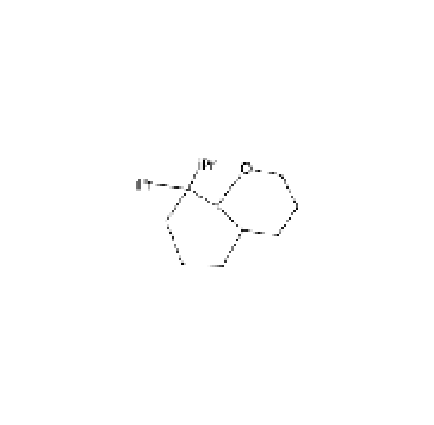 CC(C)C1(C(C)C)CCCC2CCCOC21